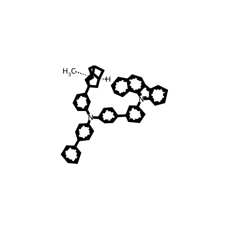 C[C@H]1CC2C[C@H]3CC(c4cccc(N(c5ccc(-c6ccccc6)cc5)c5ccc(-c6cccc(-n7c8ccccc8c8ccc9ccccc9c87)c6)cc5)c4)(CC23)C1